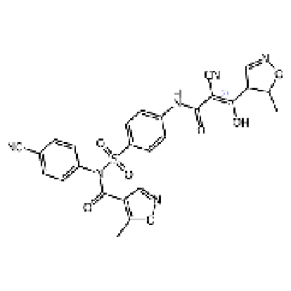 Cc1oncc1C(=O)N(c1ccc(C#N)cc1)S(=O)(=O)c1ccc(NC(=O)/C(C#N)=C(\O)C2C=NOC2C)cc1